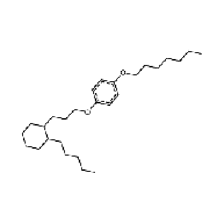 CCCCCCCOc1ccc(OCCCC2CCCCC2CCCCC)cc1